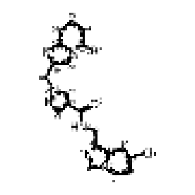 O=C(NCc1ncn2ccc(Cl)cc12)c1cnn(Cc2cn3c(Br)cccc3n2)c1